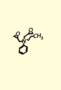 CCC[N+](CC1CO1)(CC1CO1)c1ccccc1